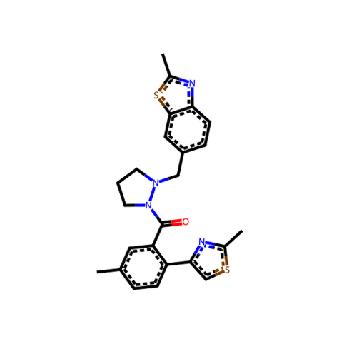 Cc1ccc(-c2csc(C)n2)c(C(=O)N2CCCN2Cc2ccc3nc(C)sc3c2)c1